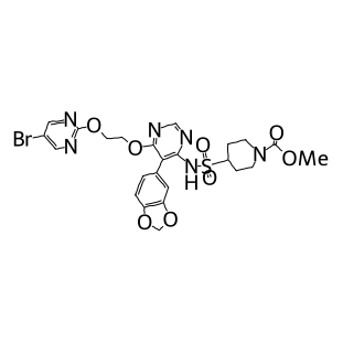 COC(=O)N1CCC(S(=O)(=O)Nc2ncnc(OCCOc3ncc(Br)cn3)c2-c2ccc3c(c2)OCO3)CC1